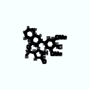 COc1cc(-c2cc3ncccc3c(O[C@H](C)[C@H]3CNC(=O)C3)n2)cc(OC)c1Cl